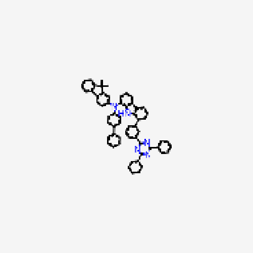 CC1(C)c2ccccc2-c2ccc(N(c3ccc(-c4ccccc4)cc3)c3cccc4c3[nH]c3c(-c5cccc(-c6nc(-c7ccccc7)nc(-c7ccccc7)n6)c5)cccc34)cc21